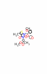 COc1ccccc1[C@H](Cn1c(=O)n([C@H]2C[C@](C)(C(=O)OC)C2)c(=O)c2c(C)csc21)OC1CCOCC1